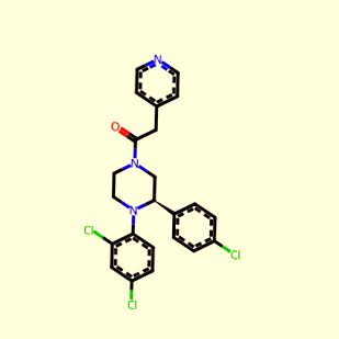 O=C(Cc1ccncc1)N1CCN(c2ccc(Cl)cc2Cl)[C@H](c2ccc(Cl)cc2)C1